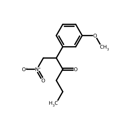 CCCC(=O)C(C[N+](=O)[O-])c1cccc(OC)c1